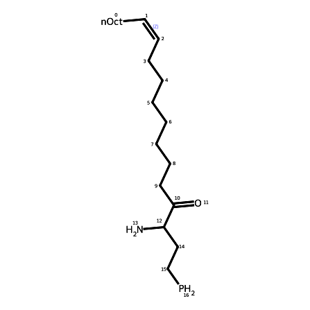 CCCCCCCC/C=C\CCCCCCCC(=O)C(N)CCP